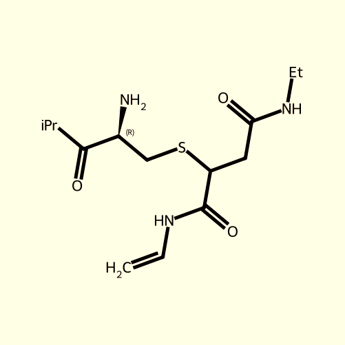 C=CNC(=O)C(CC(=O)NCC)SC[C@H](N)C(=O)C(C)C